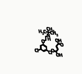 CC(C)(C)NCCOc1cc(Cl)cc(Cl)c1.O=C(O)C=CC(=O)O